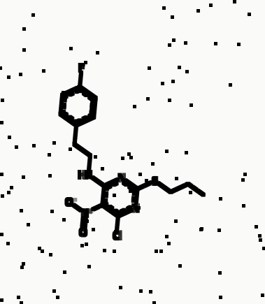 CCCSc1nc(Cl)c([N+](=O)[O-])c(NCCc2ccc(F)cc2)n1